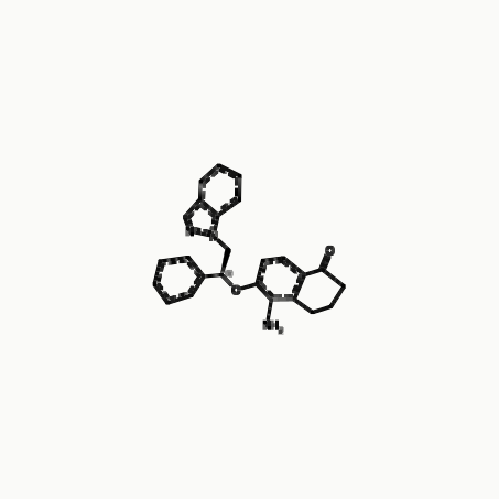 Nc1c(O[C@H](Cn2ncc3ccccc32)c2ccccc2)ccc2c1CCCC2=O